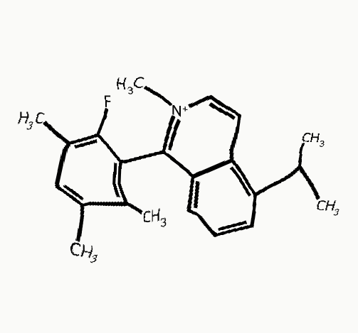 Cc1cc(C)c(F)c(-c2c3cccc(C(C)C)c3cc[n+]2C)c1C